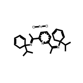 CC(=NC1(C(C)C)C=CC=CC1)c1cccc(C(C)=NC2(C(C)C)C=CC=CC2)n1.[Cl][Fe][Cl]